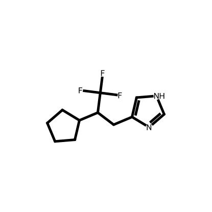 FC(F)(F)C(Cc1c[nH]cn1)C1CCCC1